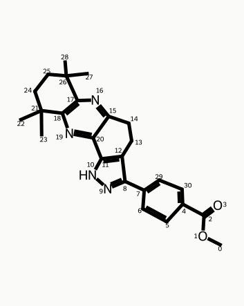 COC(=O)c1ccc(-c2n[nH]c3c2CCc2nc4c(nc2-3)C(C)(C)CCC4(C)C)cc1